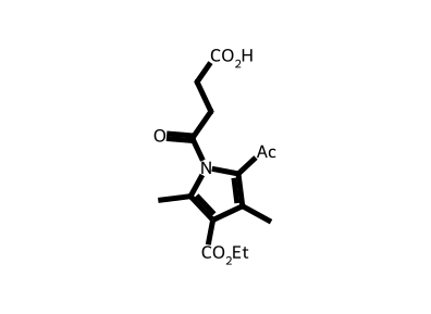 CCOC(=O)c1c(C)c(C(C)=O)n(C(=O)CCC(=O)O)c1C